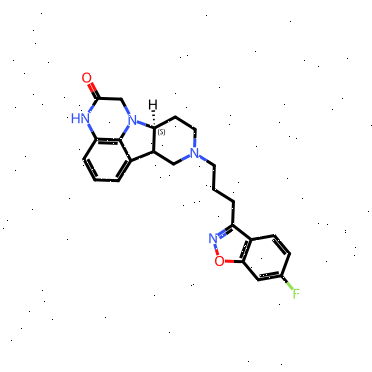 O=C1CN2c3c(cccc3C3CN(CCCc4noc5cc(F)ccc45)CC[C@@H]32)N1